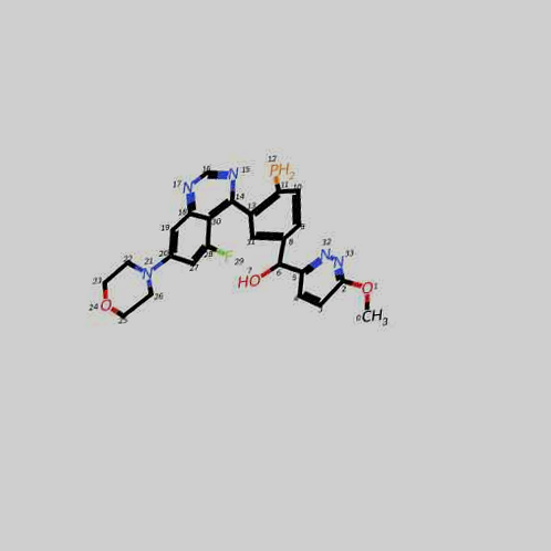 COc1ccc(C(O)c2ccc(P)c(-c3ncnc4cc(N5CCOCC5)cc(F)c34)c2)nn1